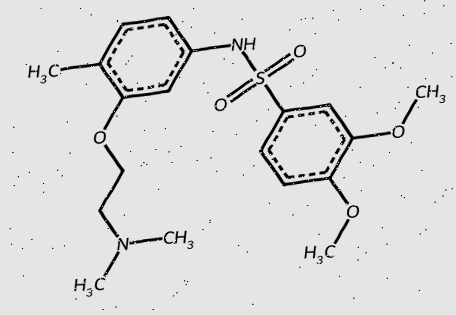 COc1ccc(S(=O)(=O)Nc2ccc(C)c(OCCN(C)C)c2)cc1OC